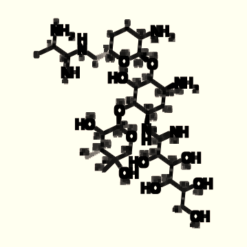 CC(N)C(=N)NC[C@@H]1CCC(N)[C@@H](OC2C(O)C(O[C@H]3OCC(C)(O)[C@H](C)C3O)[C@H](NC(=N)C(O)C(O)C(O)C(O)CO)C[C@@H]2N)O1